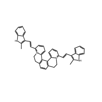 Cc1[nH]c2ccccc2c1/C=C/c1cccc2[n+]1CCc1ccc3c(c1-2)-c1cccc(/C=C/c2c(C)[nH]c4ccccc24)[n+]1CC3